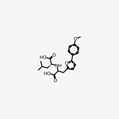 COc1ccc(-c2ccc(CC(N[C@@H](CC(C)C)C(=O)O)C(=O)O)o2)cc1